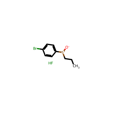 CCC[S+]([O-])c1ccc(Br)cc1.F